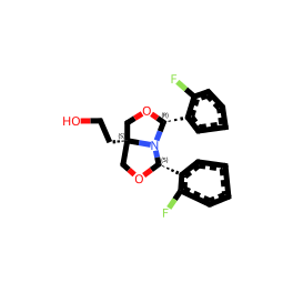 OCC[C@]12CO[C@H](c3ccccc3F)N1[C@H](c1ccccc1F)OC2